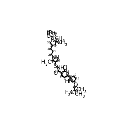 Cc1c(SNC(=O)c2ccc(N3C=CC(OCC(C)(C)C(F)(F)F)N3)nc2Cl)cnn1CCCC1CN(C(=O)OC(C)(C)C)C(C)(C)C1